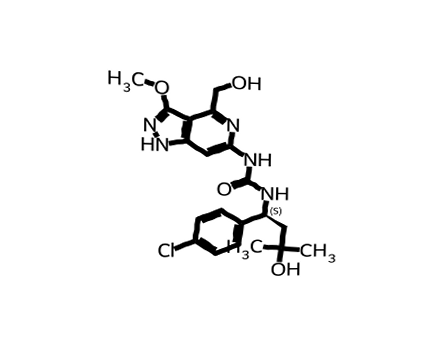 COc1n[nH]c2cc(NC(=O)N[C@@H](CC(C)(C)O)c3ccc(Cl)cc3)nc(CO)c12